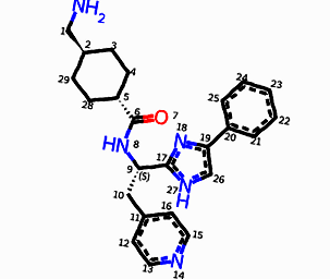 NC[C@H]1CC[C@H](C(=O)N[C@@H](Cc2ccncc2)c2nc(-c3ccccc3)c[nH]2)CC1